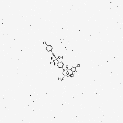 CC(C)CN(c1ccc(C(O)(C#Cc2ccc(Cl)cc2)C(F)(F)F)cc1)S(=O)(=O)c1cc(Cl)sc1Cl